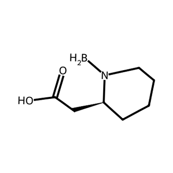 BN1CCCC[C@H]1CC(=O)O